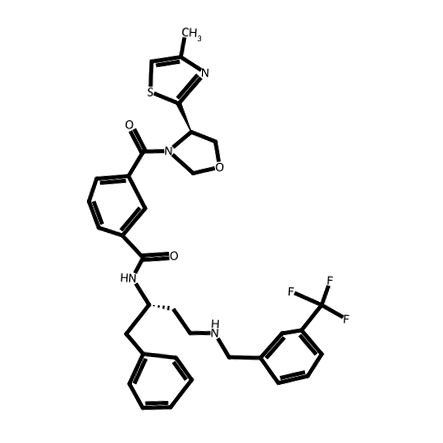 Cc1csc([C@H]2COCN2C(=O)c2cccc(C(=O)N[C@H](CCNCc3cccc(C(F)(F)F)c3)Cc3ccccc3)c2)n1